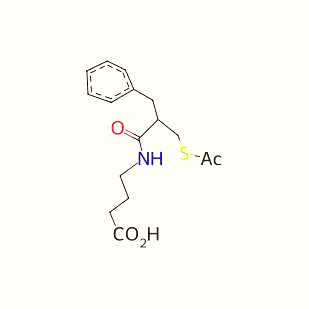 CC(=O)SCC(Cc1ccccc1)C(=O)NCCCC(=O)O